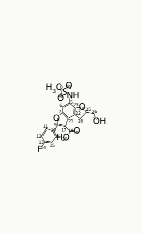 CS(=O)(=O)Nc1cc2oc(-c3ccc(F)cc3)c(C(=O)O)c2c2c1OC(CO)C2